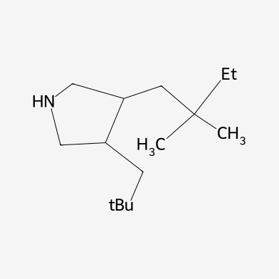 CCC(C)(C)CC1CNCC1CC(C)(C)C